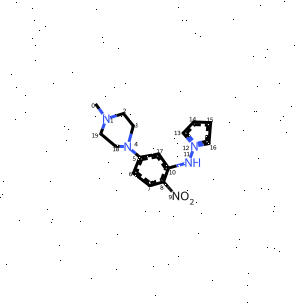 CN1CCN(c2ccc([N+](=O)[O-])c(Nn3cccc3)c2)CC1